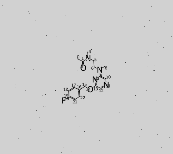 CC(=O)N(C)CCN(C)c1cncc(OCc2ccc(F)cc2)n1